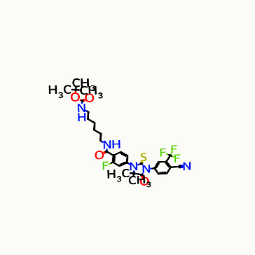 CC(C)(C)OC(=O)NCCCCCCNC(=O)c1ccc(N2C(=S)N(c3ccc(C#N)c(C(F)(F)F)c3)C(=O)C2(C)C)cc1F